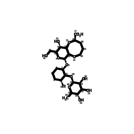 CC[C@@H]1CCC[C@@H](O[C@@H]2OC(CO)[C@H](O)C3O[C@@H](C(=O)O)CCCOC32)C1O[C@@H]1OC(C)[C@@H](O)C(O)[C@@H]1O